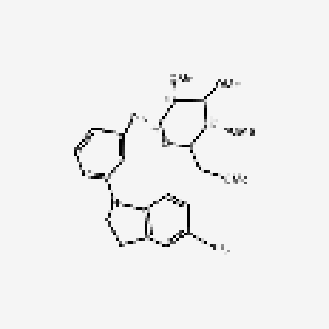 COCC1O[C@H](Oc2cccc(N3CCc4cc([N+](=O)[O-])ccc43)c2)[C@H](OC)C(OC)[C@@H]1OC